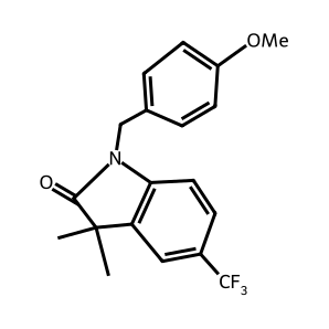 COc1ccc(CN2C(=O)C(C)(C)c3cc(C(F)(F)F)ccc32)cc1